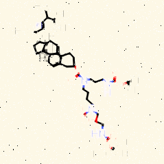 CCC(/C=C/C(C)[C@H]1CC[C@H]2[C@@H]3CC=C4C[C@@H](OC(=O)N(CCCCN(CCCNC(=O)OC(C)(C)C)C(=O)O)CCCNC(=O)OC(C)(C)C)CC[C@]4(C)[C@H]3CC[C@]12C)C(C)C